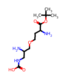 CC(C)(C)OC(=O)C(N)CCOCC(N)CNC(=O)O